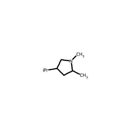 CC(C)C1CC(C)N(C)C1